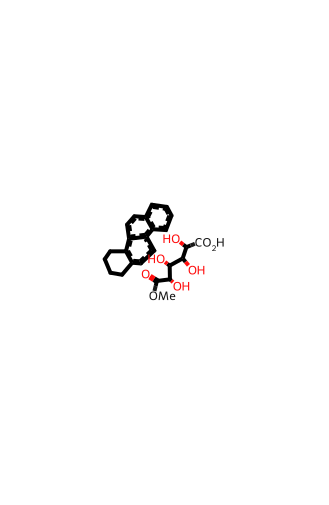 COC(=O)C(O)C(O)C(O)C(O)C(=O)O.c1ccc2c(c1)ccc1c3c(ccc12)CCCC3